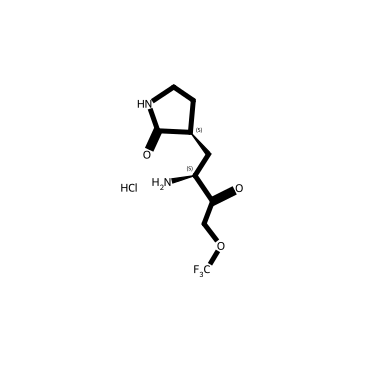 Cl.N[C@@H](C[C@@H]1CCNC1=O)C(=O)COC(F)(F)F